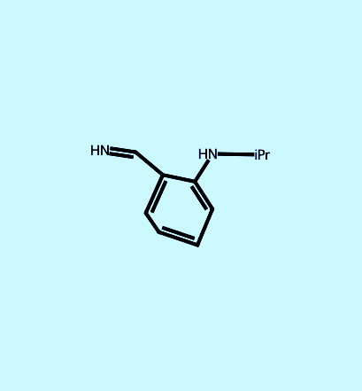 CC(C)Nc1ccccc1C=N